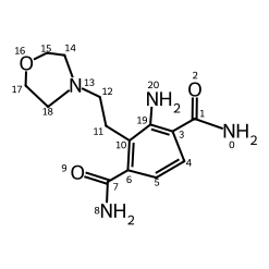 NC(=O)c1ccc(C(N)=O)c(CCN2CCOCC2)c1N